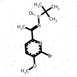 COc1ccc(/C(C)=N/[S@+]([O-])C(C)(C)C)nc1Br